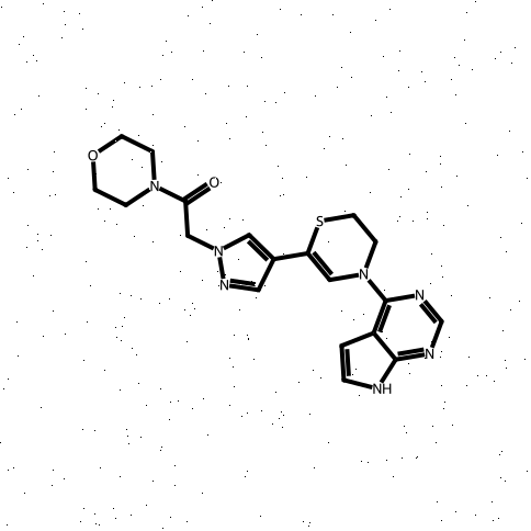 O=C(Cn1cc(C2=CN(c3ncnc4[nH]ccc34)CCS2)cn1)N1CCOCC1